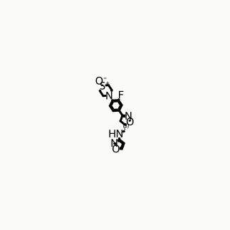 [O-][S+]1CCN(c2ccc(C3=NO[C@H](CNc4ccon4)C3)cc2F)CC1